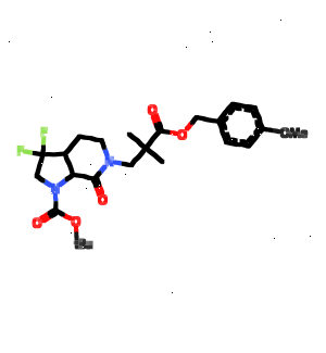 COc1ccc(COC(=O)C(C)(C)CN2CCC3C(C2=O)N(C(=O)OC(C)(C)C)CC3(F)F)cc1